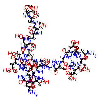 NC(=O)C[C@H](NC(=O)[C@H](CO)NC(=O)[C@H](CC(=O)O)NC(=O)[C@H](CO)NC(=O)[C@H](CC(=O)O)NC(=O)[C@H](CC(N)=O)NC(=O)[C@H](CO)NC(=O)[C@H](CC(=O)O)NC(=O)[C@H](CO)NC(=O)CNC(=O)[C@H](CO)NC(=O)CNC(=O)[C@H](CC(=O)O)NC(=O)[C@H](CC(N)=O)NC(=O)[C@H](CO)NC(=O)[C@@H](N)CC(=O)O)C(=O)N[C@@H](CC(=O)O)C(=O)NCC(=O)N[C@@H](CO)C(=O)NCC(=O)N[C@@H](CO)C(=O)O